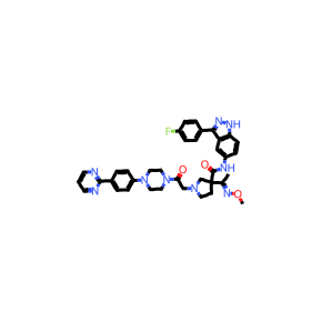 CO/N=C(\C)C1(C(=O)Nc2ccc3[nH]nc(-c4ccc(F)cc4)c3c2)CCN(CC(=O)N2CCN(c3ccc(-c4ncccn4)cc3)CC2)C1